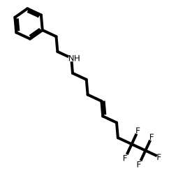 FC(F)(F)C(F)(F)CCC=CCCCNCCc1ccccc1